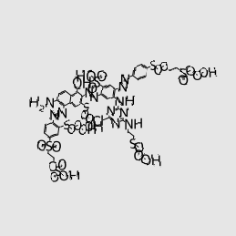 Nc1ccc2c(O)c(N=Nc3cc(Nc4nc(Cl)nc(NCCSOOO)n4)c(N=Nc4ccc(SOOCCS(=O)OOO)cc4)cc3S(=O)(=O)O)c(SOOO)cc2c1N=Nc1ccc(S(=O)(=O)CCOS(=O)(=O)O)cc1SOOO